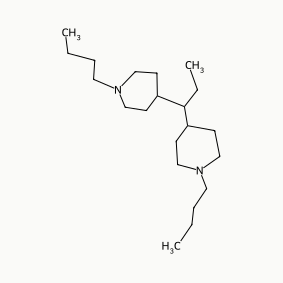 CCCCN1CCC(C(CC)C2CCN(CCCC)CC2)CC1